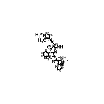 Cc1c(C#Cc2n[nH]c3nc(C(C)NC(=O)c4c(N)nn5cccnc45)n(-c4ccccc4)c(=O)c23)cnn1C